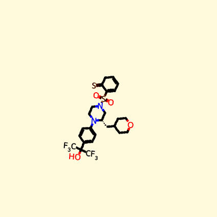 O=S(=O)(C1=CC=CCC1=S)N1CCN(c2ccc(C(O)(C(F)(F)F)C(F)(F)F)cc2)[C@@H](CC2CCOCC2)C1